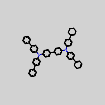 C1=CCCC(c2ccc(N(c3ccc(C4=CCCCC4)cc3)c3ccc(-c4ccc(N(c5ccc(-c6ccccc6)cc5)c5ccc(-c6ccccc6)cc5)cc4)cc3)cc2)=C1